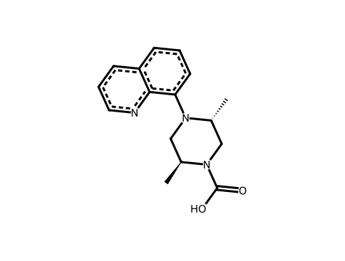 C[C@@H]1CN(C(=O)O)[C@@H](C)CN1c1cccc2cccnc12